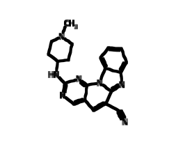 CN1CCC(Nc2ncc3cc(C#N)c4nc5ccccc5n4c3n2)CC1